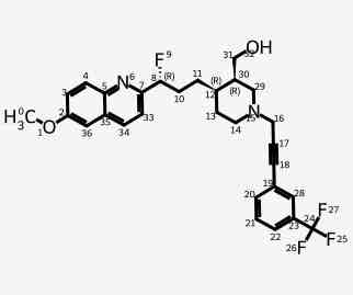 COc1ccc2nc([C@H](F)CC[C@@H]3CCN(CC#Cc4cccc(C(F)(F)F)c4)C[C@@H]3CO)ccc2c1